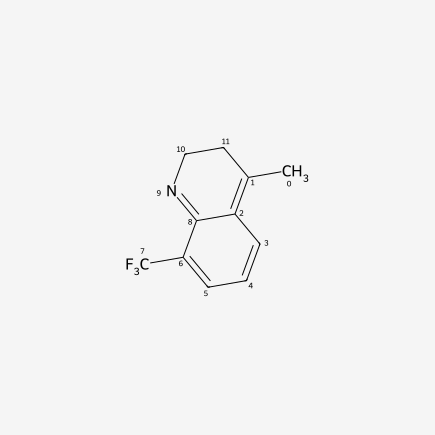 CC1=c2cccc(C(F)(F)F)c2=NCC1